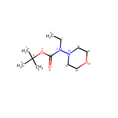 CCN(C(=O)OC(C)(C)C)N1CCOCC1